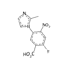 Cc1nccn1-c1cc(C(=O)O)c(F)cc1[N+](=O)[O-]